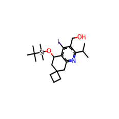 CC(C)c1nc2c(c(I)c1CO)C(O[Si](C)(C)C(C)(C)C)CC1(CCC1)C2